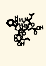 CC[C@H](C)[C@H](NC(=O)[C@H](Cc1c[nH]c2ccccc12)NC(=O)[C@H](CCC(=O)O)NC(=O)[C@@H](N)CC(C)C)C(=O)O